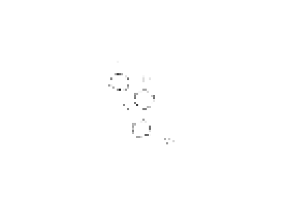 COc1ccc(CN(Cc2ccc(OC)cc2)c2cnc(C(F)(F)F)c(Br)c2)cc1